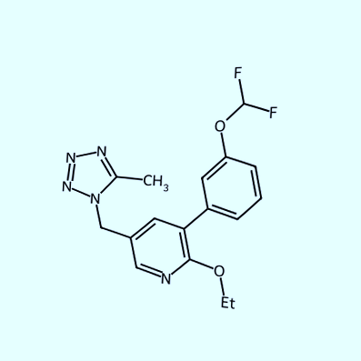 CCOc1ncc(Cn2nnnc2C)cc1-c1cccc(OC(F)F)c1